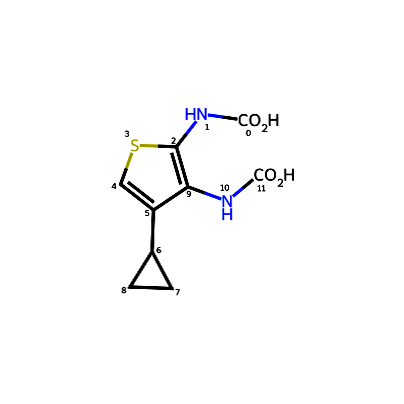 O=C(O)Nc1scc(C2CC2)c1NC(=O)O